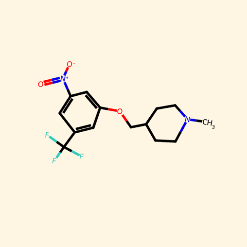 CN1CCC(COc2cc([N+](=O)[O-])cc(C(F)(F)F)c2)CC1